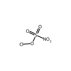 O=[N+]([O-])S(=O)(=O)OCl